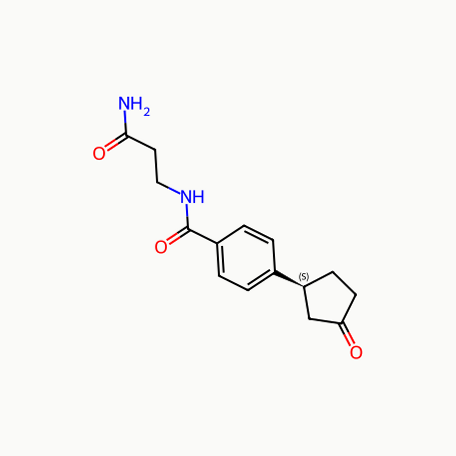 NC(=O)CCNC(=O)c1ccc([C@H]2CCC(=O)C2)cc1